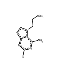 CCCCCCCCCCn1cnc2nc(Cl)nc(N)c21